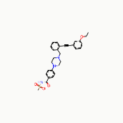 CCOc1cccc(C#Cc2ccccc2CN2CCN(c3ccc(C(=O)NS(C)(=O)=O)cc3)CC2)c1